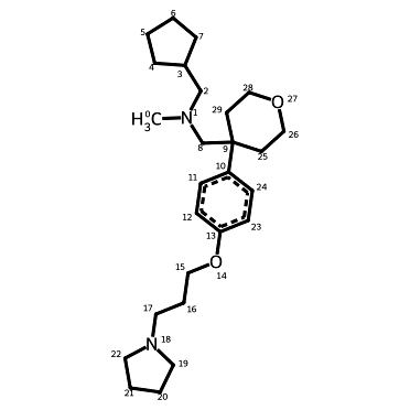 CN(CC1CCCC1)CC1(c2ccc(OCCCN3CCCC3)cc2)CCOCC1